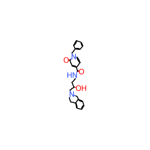 O=C(NCCC(O)CN1CCc2ccccc2C1)c1ccn(Cc2ccccc2)c(=O)c1